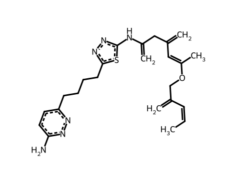 C=C(/C=C\C)CO/C(C)=C/C(=C)CC(=C)Nc1nnc(CCCCc2ccc(N)nn2)s1